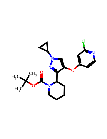 CC(C)(C)OC(=O)N1CCCCC1c1nn(C2CC2)cc1Oc1ccnc(Cl)c1